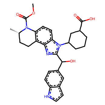 COC(=O)N1c2ccc3c(nc(C(O)c4ccc5[nH]ccc5c4)n3C3CCCC(C(=O)O)C3)c2CC[C@@H]1C